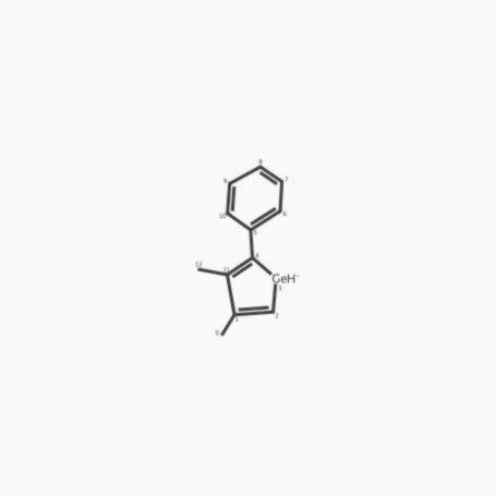 CC1=[CH][GeH-][C](c2ccccc2)=C1C